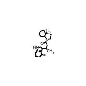 CC(CC(=O)N1CCO[C@H]2CCCCC21)c1c[nH]c2cccc(F)c12